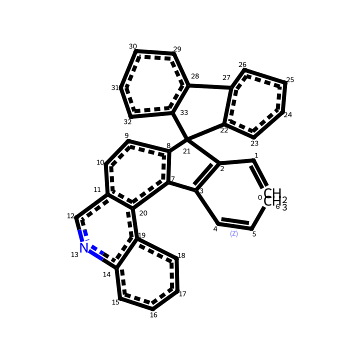 C=CC1=C(/C=C\C)c2c(ccc3cnc4ccccc4c23)C12c1ccccc1-c1ccccc12